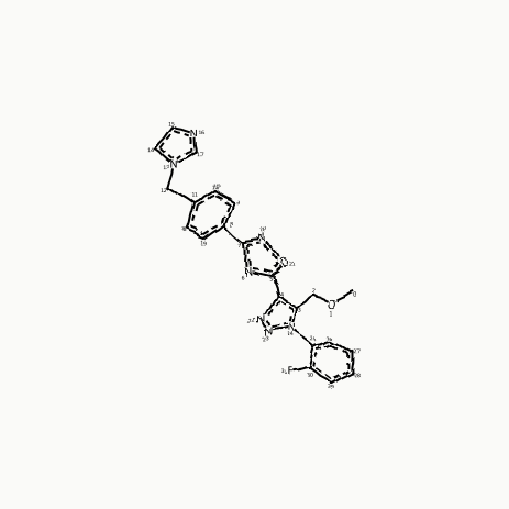 COCc1c(-c2nc(-c3ccc(Cn4ccnc4)cc3)no2)nnn1-c1ccccc1F